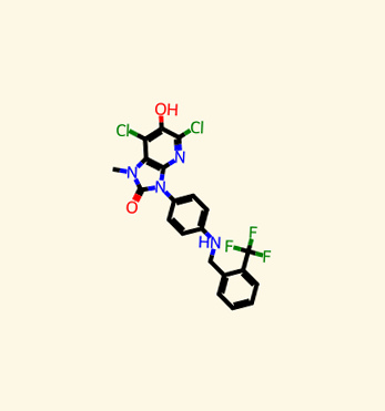 Cn1c(=O)n(-c2ccc(NCc3ccccc3C(F)(F)F)cc2)c2nc(Cl)c(O)c(Cl)c21